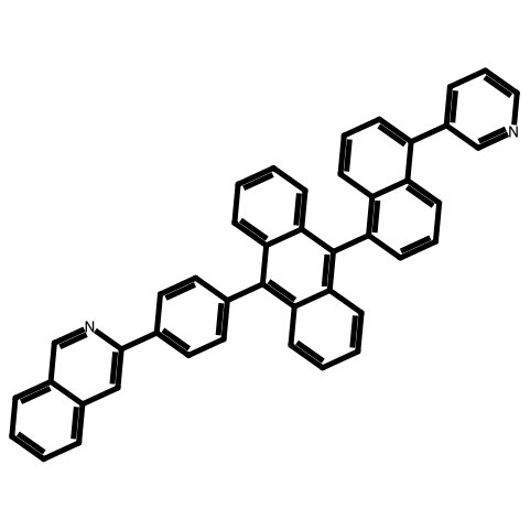 c1cncc(-c2cccc3c(-c4c5ccccc5c(-c5ccc(-c6cc7ccccc7cn6)cc5)c5ccccc45)cccc23)c1